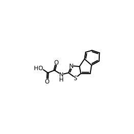 O=C(O)C(=O)NC1=NC2C(=Cc3ccccc32)S1